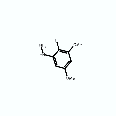 COc1cc(NN)c(F)c(OC)c1